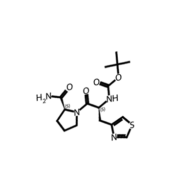 CC(C)(C)OC(=O)N[C@@H](Cc1cscn1)C(=O)N1CCC[C@H]1C(N)=O